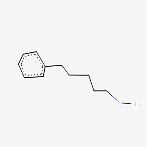 O=CNCCCCCc1ccccc1